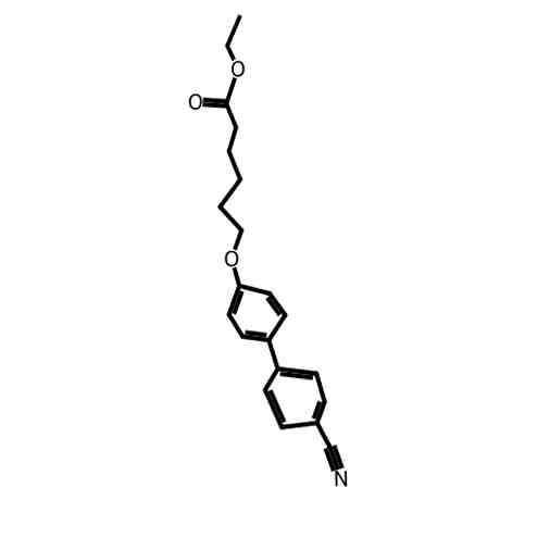 CCOC(=O)CCCCCOc1ccc(-c2ccc(C#N)cc2)cc1